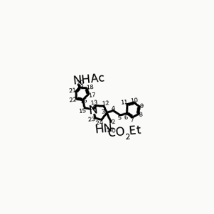 CCOC(=O)NCC1(CCc2ccccc2)CCN(Cc2ccc(NC(C)=O)cc2)CC1